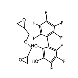 C(OCC1CO1)C1CO1.Oc1c(O)c(-c2c(F)c(F)c(F)c(F)c2F)c(F)c(F)c1F